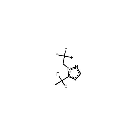 CC(F)(F)c1[c]cnn1CC(F)(F)F